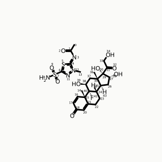 CC(=O)/N=c1\sc(S(N)(=O)=O)nn1C.C[C@]12C=CC(=O)C=C1CC[C@H]1[C@@H]3C[C@@H](O)[C@](O)(C(=O)CO)[C@@]3(C)C[C@H](O)[C@@]12F